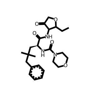 CCC1OCC(=O)C1NC(=O)[C@H](CC(C)(C)Cc1ccccc1)NC(=O)N1CCOCC1